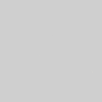 Clc1cc(-c2ccc(-c3cccnc3)cc2)c2nc(-c3ccccc3)oc2c1